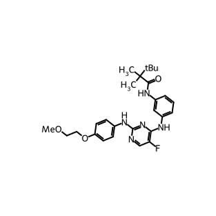 COCCOc1ccc(Nc2ncc(F)c(Nc3cccc(NC(=O)C(C)(C)C(C)(C)C)c3)n2)cc1